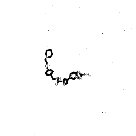 Nc1nc2ccc(-c3csc(C(=O)NCc4ccc(OCCN5CCCCC5)cc4)c3)cn2n1